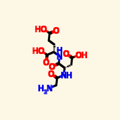 NCC(=O)N[C@@H](CC(=O)O)C(=O)N[C@@H](CCC(=O)O)C(=O)O